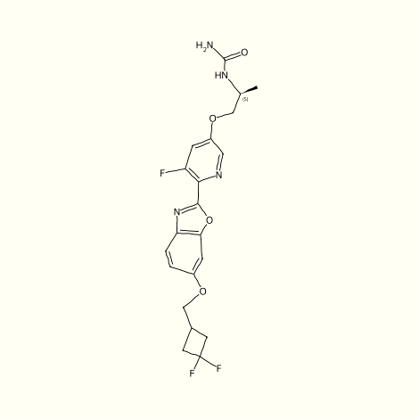 C[C@@H](COc1cnc(-c2nc3ccc(OCC4CC(F)(F)C4)cc3o2)c(F)c1)NC(N)=O